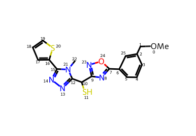 COCc1cccc(-c2nc(C(S)c3nnc(-c4cccs4)n3C)no2)c1